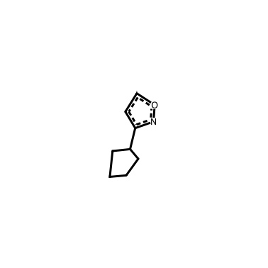 [c]1cc(C2CCCC2)no1